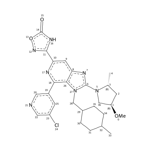 CO[C@@H]1C[C@@H](C)N(c2nc3cc(-c4noc(=O)[nH]4)nc(-c4cncc(Cl)c4)c3n2CC2CCC(C)CC2)C1